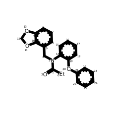 CCC(=O)N(Cc1cccc2c1OCO2)c1ccccc1Oc1ccccc1